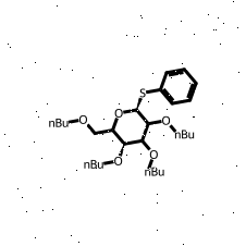 CCCCOCC1O[C@@H](Sc2ccccc2)C(OCCCC)C(OCCCC)[C@H]1OCCCC